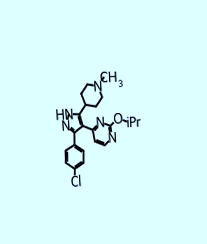 CC(C)Oc1nccc(-c2c(-c3ccc(Cl)cc3)n[nH]c2C2CCN(C)CC2)n1